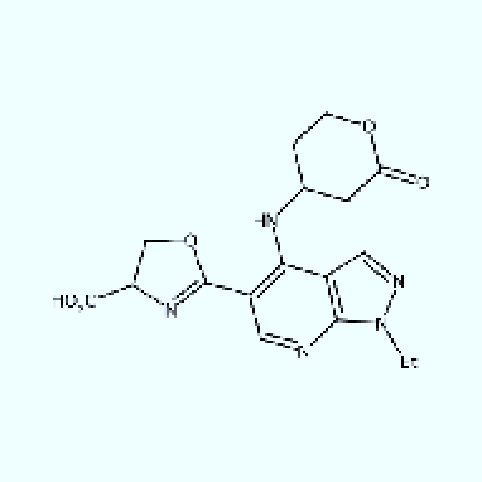 CCn1ncc2c(NC3CCOC(=O)C3)c(C3=NC(C(=O)O)CO3)cnc21